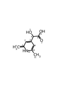 C=C1C=C(C(O)C(=O)O)C=C(C)N1